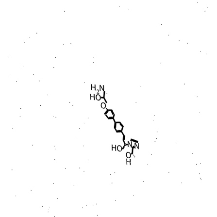 C[C@H](O)c1nccn1C(/C=C/c1ccc(-c2ccc(OCC(O)CN)cc2)cc1)CO